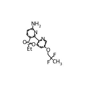 CCS(=O)(=O)c1ccc(N)nc1-c1ccc(OCC(C)(F)F)cn1